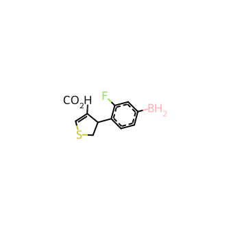 Bc1ccc(C2CSC=C2C(=O)O)c(F)c1